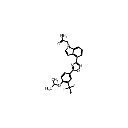 CC(C)Oc1ccc(-c2nc(-c3cccc4c3ccn4CC(N)=O)no2)cc1C(F)(F)F